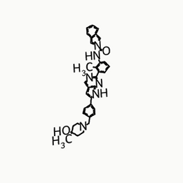 Cc1c(NC(=O)n2cc3ccccc3c2)cccc1-c1ncc2cc(-c3ccc(CN4CCC(C)(O)CC4)cc3)[nH]c2n1